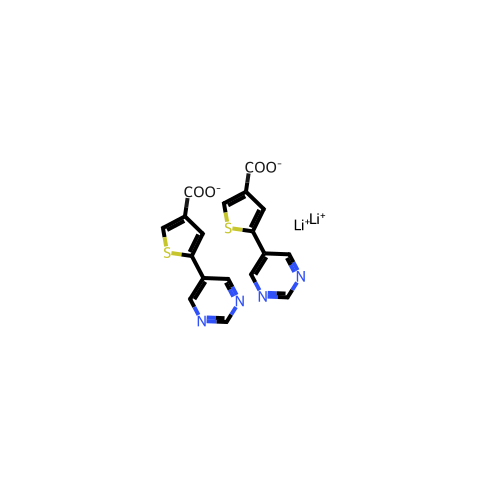 O=C([O-])c1csc(-c2cncnc2)c1.O=C([O-])c1csc(-c2cncnc2)c1.[Li+].[Li+]